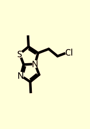 Cc1cn2c(CCCl)c(C)sc2n1